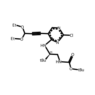 CCOC(C#Cc1cnc(Cl)nc1N[C@@H](CNC(=O)OC(C)(C)C)C(C)(C)C)OCC